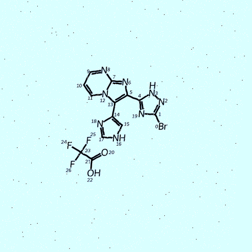 Brc1n[nH]c(-c2nc3ncccn3c2-c2c[nH]cn2)n1.O=C(O)C(F)(F)F